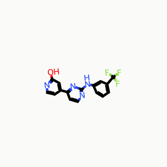 Oc1cc(-c2ccnc(Nc3cccc(C(F)(F)F)c3)n2)ccn1